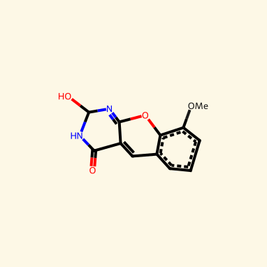 COc1cccc2c1OC1=NC(O)NC(=O)C1=C2